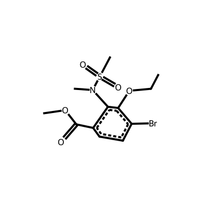 CCOc1c(Br)ccc(C(=O)OC)c1N(C)S(C)(=O)=O